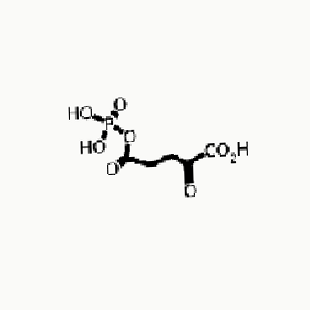 O=C(CCC(=O)C(=O)O)OP(=O)(O)O